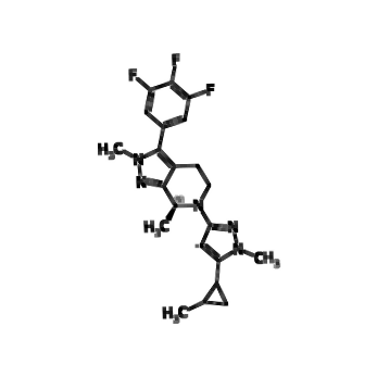 CC1CC1c1[c]c(N2CCc3c(nn(C)c3-c3cc(F)c(F)c(F)c3)[C@@H]2C)nn1C